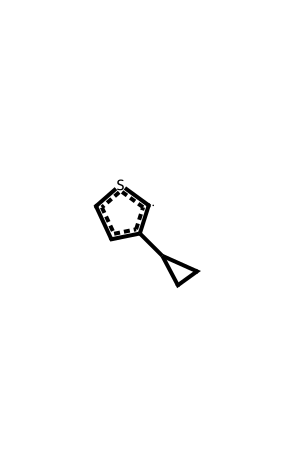 [c]1sccc1C1CC1